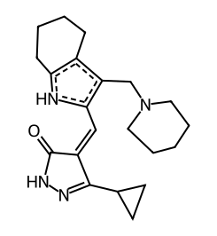 O=C1NN=C(C2CC2)C1=Cc1[nH]c2c(c1CN1CCCCC1)CCCC2